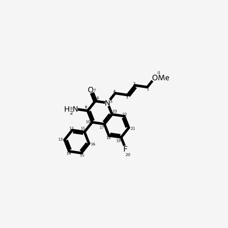 COC/C=C/Cn1c(=O)c(N)c(-c2ccccc2)c2cc(F)ccc21